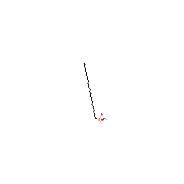 CCCCCCCCCCCCCCCCCCCCCCCCCCCC(C)[SiH](OCC)OCC